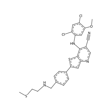 COc1cc(Nc2c(C#N)cnc3cc(-c4ccc(CNCCSC)cc4)sc23)c(Cl)cc1Cl